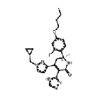 CCCCOc1ccc([C@]2(C)CC(c3ccn(CC4CC4)n3)=C(c3nnc[nH]3)C(=O)N2)c(F)c1